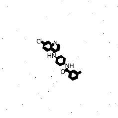 Cc1cccc(C(=O)N[C@H]2CC[C@@H](Nc3ccnc4cc(Cl)ccc34)CC2)c1